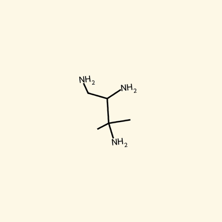 CC(C)(N)C(N)CN